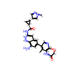 Cc1c(-c2cc(N)c3nnc(NC(=O)[C@H]4C[C@@H]4c4cnn(C)c4)cc3c2)cnc2c1NC(=O)CO2